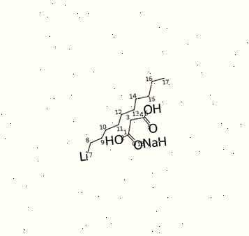 O=C(O)CC(=O)O.[Li][CH2]CCCCCCCCC.[NaH]